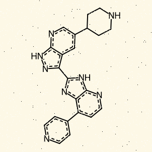 c1cc(-c2ccnc3[nH]c(-c4n[nH]c5ncc(C6CCNCC6)cc45)nc23)ccn1